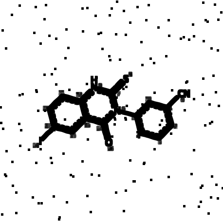 N#Cc1cccc(-n2c(=S)[nH]c3ccc(I)cc3c2=O)c1